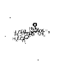 C=C(OCC)c1cc(C(=O)N[C@@H](CCC(=O)OC(C)(C)C)C(=O)N2CCN(C(=O)OCC)CC2)nc(-c2ccccc2)n1